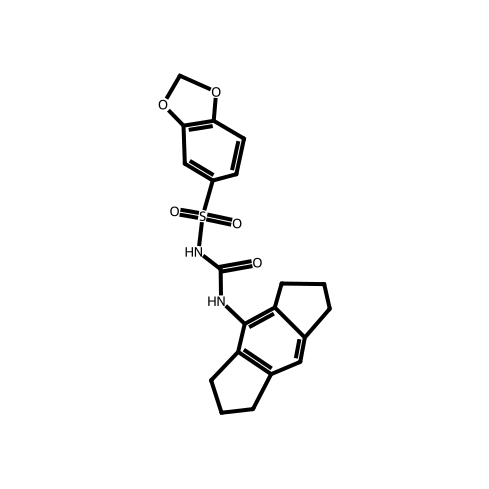 O=C(Nc1c2c(cc3c1CCC3)CCC2)NS(=O)(=O)c1ccc2c(c1)OCO2